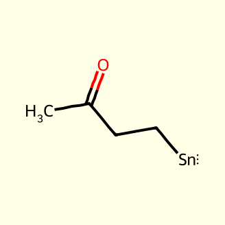 CC(=O)C[CH2][Sn]